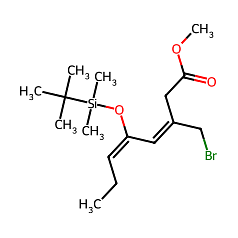 CC/C=C(\C=C(\CBr)CC(=O)OC)O[Si](C)(C)C(C)(C)C